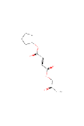 COC(=O)COC(=O)/C=C/C(=O)OC1CCCC1